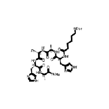 CCCCCCCCCCCCCCCC(=O)N[C@@H](Cc1c[nH]cn1)C(=O)N[C@H](C)C(=O)N[C@H](C(=O)N[C@@H](Cc1c[nH]cn1)C(=O)N[C@@H](C)C(=O)NC)C(C)C